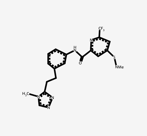 CNSc1cc(C(=O)Nc2cccc(CCc3nncn3C)c2)nc(C(F)(F)F)c1